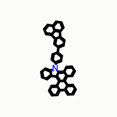 c1cc2c3c(cccc3c1)-c1cc(-c3ccc(-n4c5ccccc5c5c6c7ccccc7c7ccccc7c6c6ccccc6c54)cc3)ccc1-2